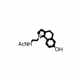 CC(=O)NCCn1ccc2c1-c1ccc(O)cc1CC2